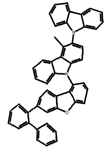 Cc1c(-n2c3ccccc3c3ccccc32)ccc2c1c1ccccc1n2-c1cccc2oc3cc(-c4ccccc4-c4ccccc4)ccc3c12